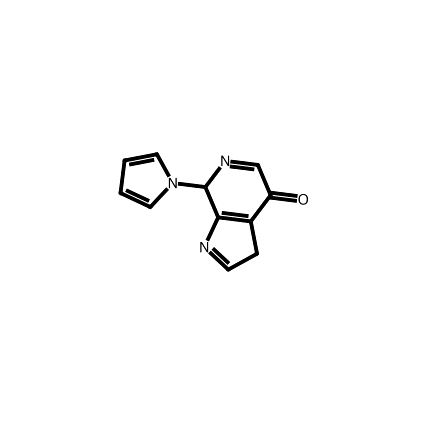 O=C1C=NC(n2cccc2)C2=C1CC=N2